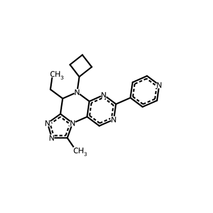 CCC1c2nnc(C)n2-c2cnc(-c3ccncc3)nc2N1C1CCC1